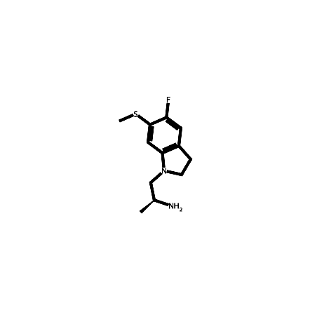 CSc1cc2c(cc1F)CCN2C[C@H](C)N